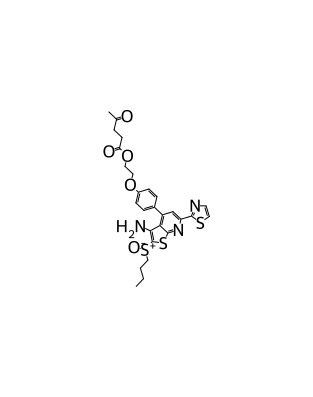 CCCC[S+]([O-])c1sc2nc(-c3nccs3)cc(-c3ccc(OCCOC(=O)CCC(C)=O)cc3)c2c1N